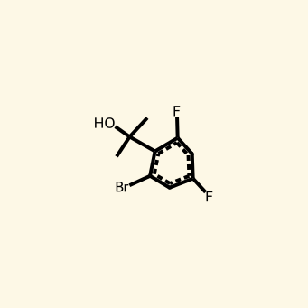 CC(C)(O)c1c(F)cc(F)cc1Br